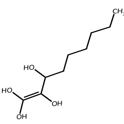 CCCCCCC(O)C(O)=C(O)O